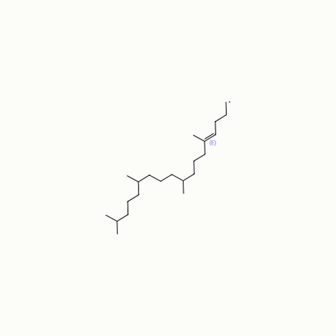 [CH2]CC/C=C(\C)CCCC(C)CCCC(C)CCCC(C)C